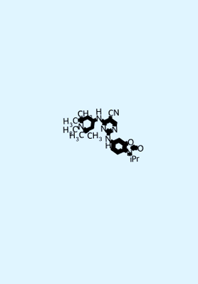 CC(C)n1c(=O)oc2cc(Nc3ncc(C#N)c(NC4CC(C)(C)N(C)C(C)(C)C4)n3)ccc21